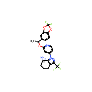 C[C@H](Oc1cc(-n2nc(C(F)(F)F)c3c2[C@@H](N)CCC3)ccn1)c1ccc2c(c1)OC(F)(F)O2